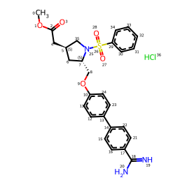 COC(=O)C[C@@H]1C[C@@H](COc2ccc(-c3ccc(C(=N)N)cc3)cc2)N(S(=O)(=O)c2ccccc2)C1.Cl